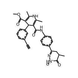 C#Cc1cccc(C2C(C(=O)Nc3ccc(C4=N[NH+]([O-])C(=O)C(C)C4)cc3)=C(C)NC(C)=C2C(=O)OC)c1